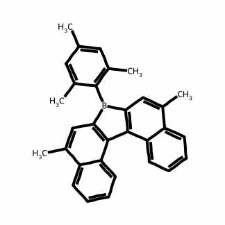 Cc1cc(C)c(B2c3cc(C)c4ccccc4c3-c3c2cc(C)c2ccccc32)c(C)c1